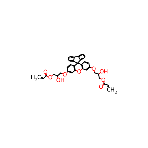 C=CC(=O)OCC(O)COc1ccc2c(c1)Oc1cc(OCC(O)COC(=O)C=C)ccc1C21c2ccccc2-c2ccccc21